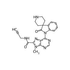 C#CCNC(=O)c1nc2c(N3C(=O)C4(CCNCC4)c4ccccc43)ncnc2n1C